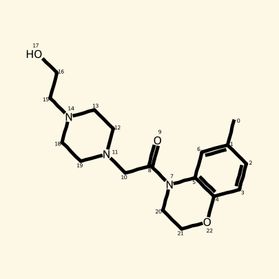 Cc1ccc2c(c1)N(C(=O)CN1CCN(CCO)CC1)CCO2